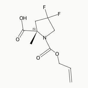 C=CCOC(=O)N1CC(F)(F)C[C@@]1(C)C(=O)O